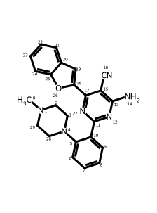 CN1CCN(c2ccccc2-c2nc(N)c(C#N)c(-c3cc4ccccc4o3)n2)CC1